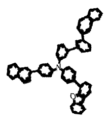 c1cc(-c2cccc(N(c3ccc(-c4ccc5ccccc5c4)cc3)c3ccc(-c4cccc5c4oc4ccccc45)cc3)c2)cc(-c2ccc3ccccc3c2)c1